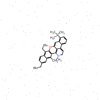 Cc1c2c(c(CC(C)(C)C)c3ccc(CC(C)(C)C)cc13)Oc1cc3c([Si](C)(C)C)cccc3c3cc[n+](C)c-2c13